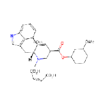 CCCCCCCCC12C=CC=C3N=CC(=C31)C[C@@H]1C2=C[C@@H](C(=O)OC2CCCC(OC)C2)CN1C.O=C(O)/C=C\C(=O)O